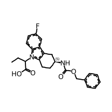 CCC(C(=O)O)n1c2c(c3cc(F)ccc31)C[C@@H](NC(=O)OCc1ccccc1)CC2